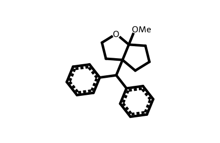 COC12CCCC1(C(c1ccccc1)c1ccccc1)CCO2